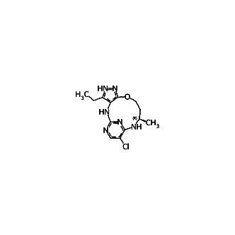 CCc1[nH]nc2c1Nc1ncc(Cl)c(n1)N[C@H](C)CCO2